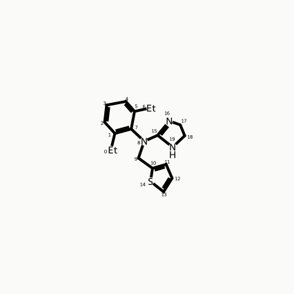 CCc1cccc(CC)c1N(Cc1cccs1)C1=NCCN1